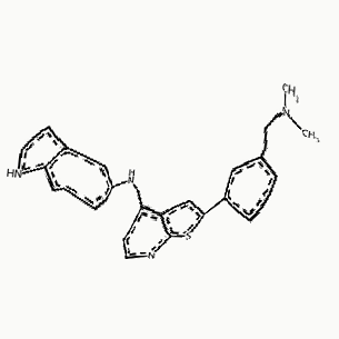 CN(C)Cc1cccc(-c2cc3c(Nc4ccc5[nH]ccc5c4)ccnc3s2)c1